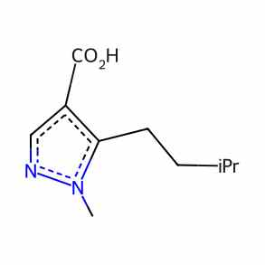 CC(C)CCc1c(C(=O)O)cnn1C